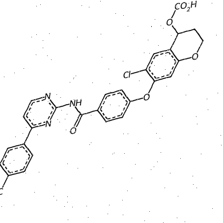 O=C(O)OC1CCOc2cc(Oc3ccc(C(=O)Nc4nccc(-c5ccc(C(F)(F)F)cc5)n4)cc3)c(Cl)cc21